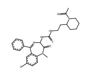 CC(=N)N1CCCCC1CCNC(=S)NC1N=C(c2ccccc2)c2cc(Cl)ccc2N(C)C1=O